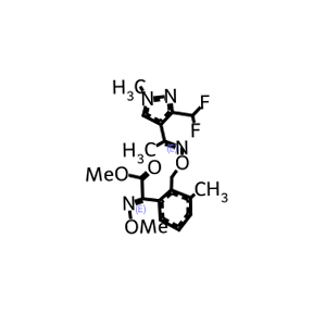 CO/N=C(/C(=O)OC)c1cccc(C)c1CO/N=C(\C)c1cn(C)nc1C(F)F